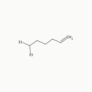 C=CCCCC(CC)CC